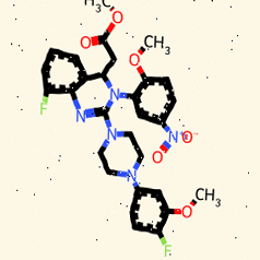 COC(=O)CC1c2cccc(F)c2N=C(N2CCN(c3ccc(F)c(OC)c3)CC2)N1c1cc([N+](=O)[O-])ccc1OC